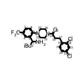 CCC(C)C(N)c1cc(C(F)(F)F)ccc1N1CCN(C(=O)CCc2ccc(Cl)cc2Cl)CC1